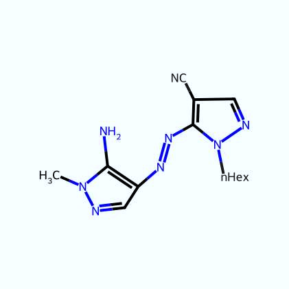 CCCCCCn1ncc(C#N)c1N=Nc1cnn(C)c1N